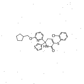 O=C1NC(c2ccsc2)(c2cccc(OCC3CCCC3)n2)C[C]=C1Sc1ccccc1Cl